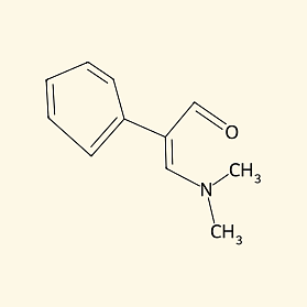 CN(C)C=C(C=O)c1ccccc1